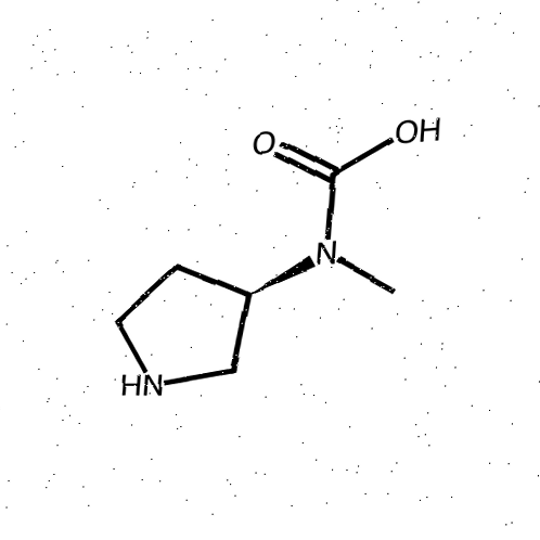 CN(C(=O)O)[C@@H]1CCNC1